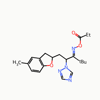 CCC(=O)ON=C(C(CC1Cc2cc(C)ccc2O1)n1cncn1)C(C)(C)C